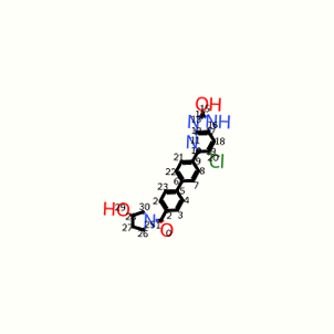 O=C(c1ccc(-c2ccc(-c3nc4nc(O)[nH]c4cc3Cl)cc2)cc1)N1CC[C@@H](O)C1